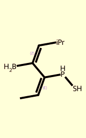 BC(=C/C(C)C)/C(=C\C)PS